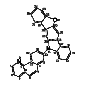 c1cnc2c(c1)ccc1cc(-n3c4ccccc4c4cc5oc6ccccc6c5cc43)ccc12